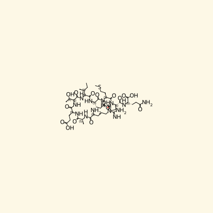 CC[C@H](C)[C@H](NC(=O)[C@@H](NC(=O)[C@H](CCC(=O)O)NC(=O)[C@H](C)NC(=O)[C@@H](N)CCCNC(=N)N)[C@@H](C)O)C(=O)N[C@@H](CCC(=O)O)C(=O)N[C@@H](CCSC)C(=O)N1CCC[C@H]1C(=O)N[C@@H](CCC(N)=O)C(=O)O